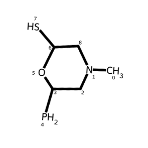 CN1CC(P)OC(S)C1